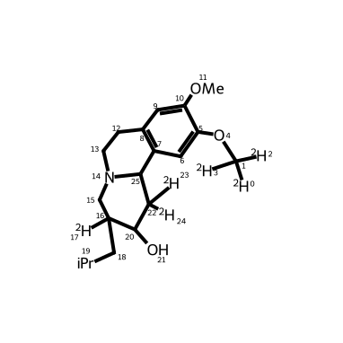 [2H]C([2H])([2H])Oc1cc2c(cc1OC)CCN1CC([2H])(CC(C)C)C(O)C([2H])([2H])C21